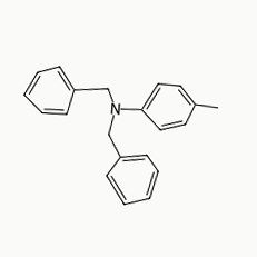 Cc1ccc(N(Cc2ccccc2)Cc2ccccc2)cc1